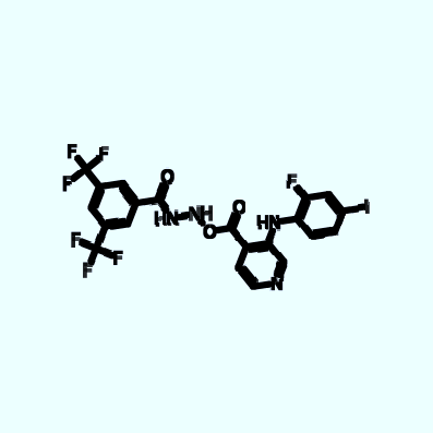 O=C(NNOC(=O)c1ccncc1Nc1ccc(I)cc1F)c1cc(C(F)(F)F)cc(C(F)(F)F)c1